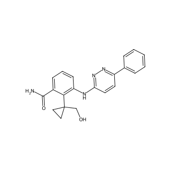 NC(=O)c1cccc(Nc2ccc(-c3ccccc3)nn2)c1C1(CO)CC1